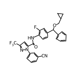 N#Cc1cccc(-n2nc(C(F)(F)F)cc2C(=O)Nc2ccc(C(OCC3CC3)c3ccccc3)cc2F)c1